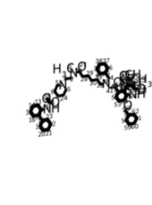 CN(CCN1CCC(OC(=O)Nc2ccccc2-c2ccccc2)CC1)C(=O)CCCCCN(Cc1ccccc1)C[C@@H](O[Si](C)(C)C(C)(C)C)c1ccc(OCc2ccccc2)c2[nH]c(=O)ccc12